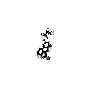 CCN(CC)C(=O)OC[C@@H]1CC2c3cccc4[nH]c(Br)c(c34)C[C@H]2N(C)C1